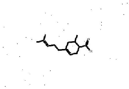 CCC(=O)C1CC=C(CCC=C(C)C)CC1C